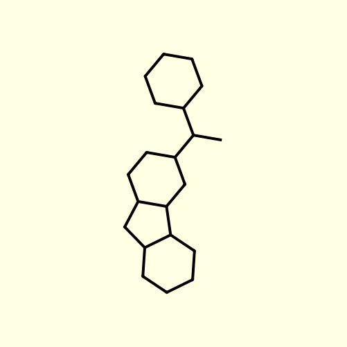 CC(C1CCCCC1)C1CCC2CC3CCCCC3C2C1